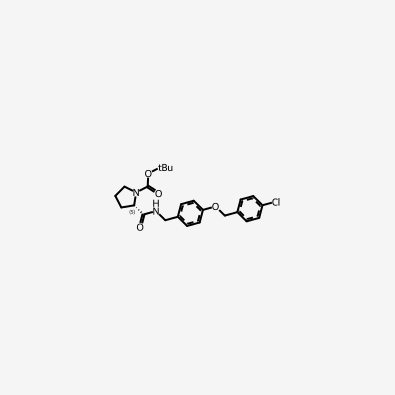 CC(C)(C)OC(=O)N1CCC[C@H]1C(=O)NCc1ccc(OCc2ccc(Cl)cc2)cc1